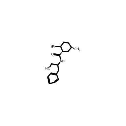 CC(C)C1CC[C@@H](C)C[C@H]1C(=O)NC(CO)Cc1ccccc1